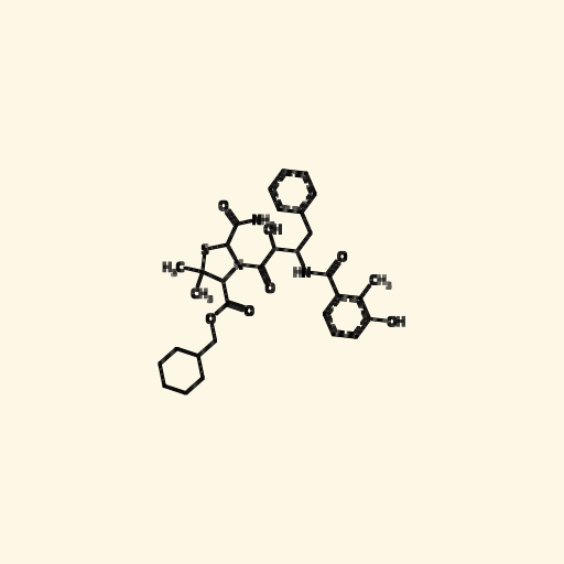 Cc1c(O)cccc1C(=O)NC(Cc1ccccc1)C(O)C(=O)N1C(C(N)=O)SC(C)(C)C1C(=O)OCC1CCCCC1